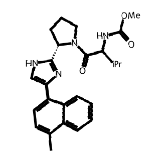 COC(=O)NC(C(=O)N1CCC[C@H]1c1nc(-c2ccc(C)c3ccccc23)c[nH]1)C(C)C